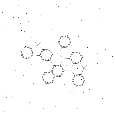 CC(C)(C)c1ccc(N2B3c4cccc5c4N(c4ccccc4C5(C)C)c4cc5ccccc5c(c43)-c3cc4c(cc32)C(C)(C)c2ccccc2-4)cc1